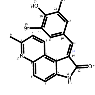 Cc1ccc2c3c(ccc2n1)NC(=O)/C3=C/c1cc(Br)c(O)c(Br)c1